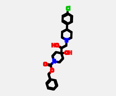 O=C(OCc1ccccc1)N1CCC(O)(C(O)CN2CCC(c3ccc(Cl)cc3)CC2)CC1